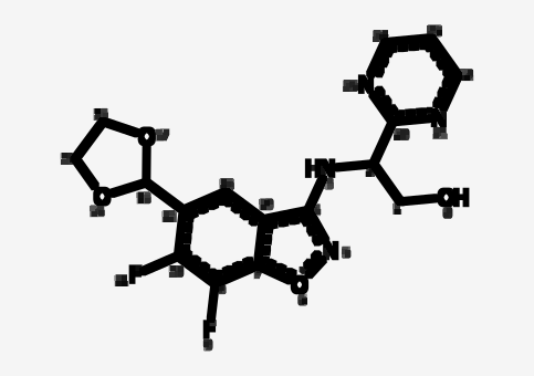 OCC(Nc1noc2c(F)c(F)c(C3OCCO3)cc12)c1ncccn1